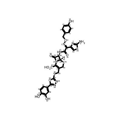 Nc1nc(C(=NOCc2ccc(O)cc2)C(=O)N[C@@H]2C(=O)N3C(C(=O)O)=C(CSc4nnc(-c5ccc(O)c(O)c5)o4)CS[C@@H]23)cs1